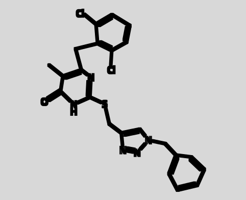 Cc1c(Cc2c(Cl)cccc2Cl)nc(SCc2cn(Cc3ccccc3)nn2)[nH]c1=O